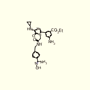 CCOC(=O)c1cc(N)cc(-c2cnc(NC3CC3)c(=O)n2CC(=O)NCc2ccc(/C(N)=N/O)cc2)c1